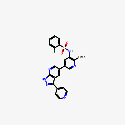 COc1ncc(-c2cnc3[nH]nc(-c4ccncc4)c3c2)cc1NS(=O)(=O)c1ccccc1F